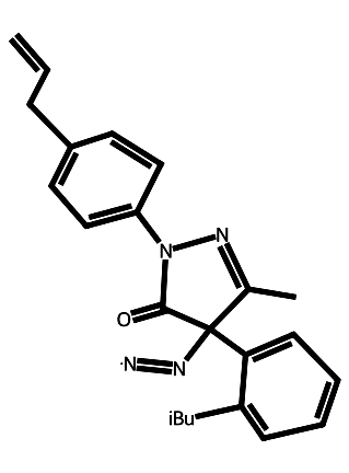 C=CCc1ccc(N2N=C(C)C(N=[N])(c3ccccc3C(C)CC)C2=O)cc1